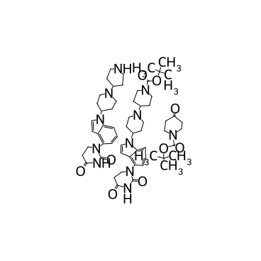 CC(C)(C)OC(=O)N1CCC(=O)CC1.CC(C)(C)OC(=O)N1CCC(N2CCC(n3ccc4c(N5CCC(=O)NC5=O)cccc43)CC2)CC1.O=C1CCN(c2cccc3c2ccn3C2CCN(C3CCNCC3)CC2)C(=O)N1